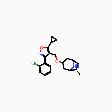 C[C@@H]1CC2CC(OCc3c(-c4ccccc4Cl)noc3C3CC3)CC1N2